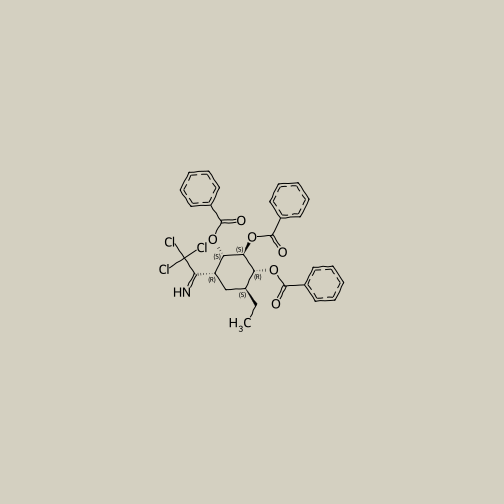 CC[C@H]1C[C@H](C(=N)C(Cl)(Cl)Cl)[C@H](OC(=O)c2ccccc2)[C@@H](OC(=O)c2ccccc2)[C@@H]1OC(=O)c1ccccc1